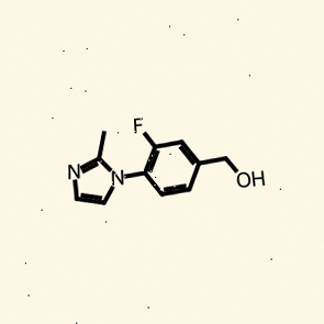 Cc1nccn1-c1ccc(CO)cc1F